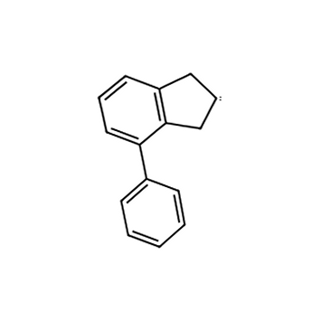 [C]1Cc2cccc(-c3ccccc3)c2C1